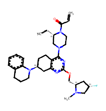 C=CC(=O)N1CCN(c2nc(OC[C@@H]3C[C@H](F)CN3C)nc3c2CC[C@H](N2CCCc4ccccc42)C3)C[C@@H]1CC#N